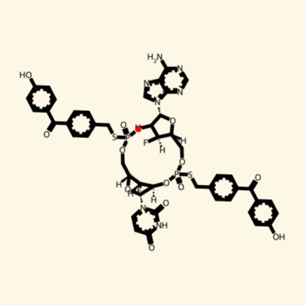 Nc1ncnc2c1ncn2[C@@H]1O[C@@H]2COP(=O)(SCc3ccc(C(=O)c4ccc(O)cc4)cc3)O[C@@H]3[C@H](F)[C@@H](COP(=O)(SCc4ccc(C(=O)c5ccc(O)cc5)cc4)O[C@@H]1[C@@H]2F)O[C@H]3n1ccc(=O)[nH]c1=O